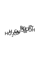 CC(ON=Cc1cc(Br)c(Oc2ccc(O)c(C(C)C)c2)c(Br)c1)C(=O)O